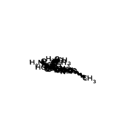 CCCCCCCOc1ccc(-c2cnc(-c3ccc(CC(NC(=O)c4ccc(C(C)(C)C)s4)C(=O)NC(CCC(N)=O)C(=O)O)cc3)nc2)cc1